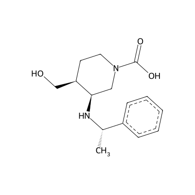 C[C@H](N[C@@H]1CN(C(=O)O)CC[C@@H]1CO)c1ccccc1